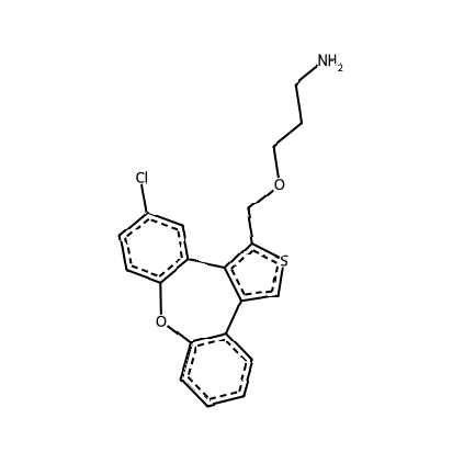 NCCCOCc1scc2c1-c1cc(Cl)ccc1Oc1ccccc1-2